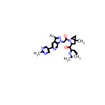 C=C/N=C(\C=C/C)C(=O)C1CC2(C)CC2N1C(=O)Cn1nc(C(C)=O)c2cc(-c3cnc(C)nc3)ncc21